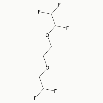 FC(F)COCCOC(F)C(F)F